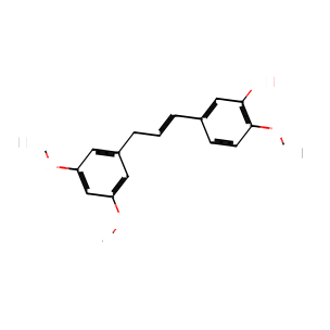 COc1cc(CC=Cc2ccc(OC)c(O)c2)cc(OC)c1